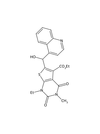 CCOC(=O)c1c(C(O)c2ccnc3ccccc23)sc2c1c(=O)n(C)c(=O)n2CC